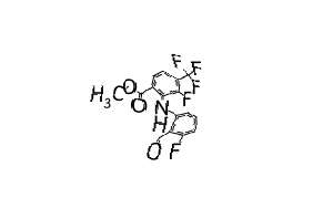 COC(=O)c1ccc(C(F)(F)F)c(F)c1Nc1cccc(F)c1C=O